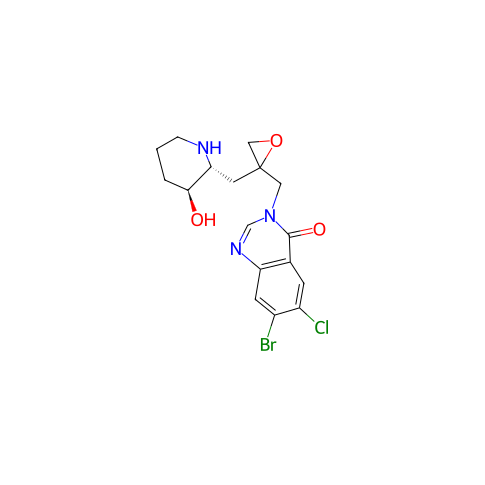 O=c1c2cc(Cl)c(Br)cc2ncn1CC1(C[C@H]2NCCC[C@@H]2O)CO1